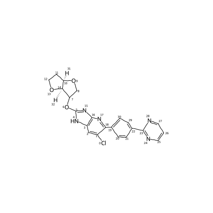 Clc1cc2[nH]c(OC3CO[C@@H]4CCO[C@H]34)nc2nc1-c1ccc(-c2ncccn2)cc1